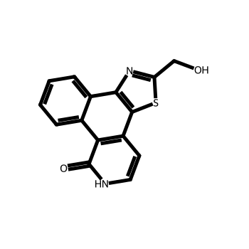 O=c1[nH]ccc2c3sc(CO)nc3c3ccccc3c12